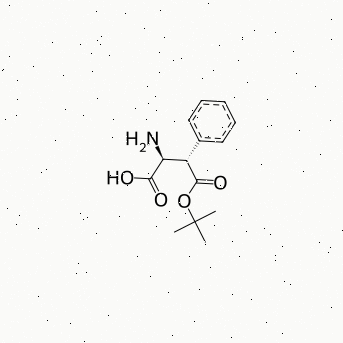 CC(C)(C)OC(=O)[C@@H](c1ccccc1)[C@H](N)C(=O)O